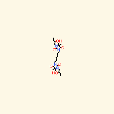 CCC(O)CN1C(=O)N(CCCCCCN2C(=O)N(CC(O)CC)C(C)(C)C2=O)C(=O)C1(C)C